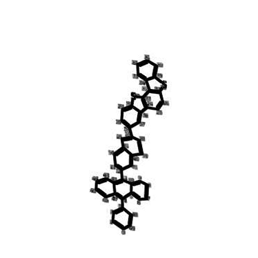 c1ccc(-c2c3ccccc3c(-c3ccc4cc(-c5ccc6sc7c(ccc8sc9ccccc9c87)c6c5)ccc4c3)c3ccccc23)cc1